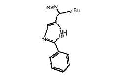 CCCCC(NC)c1cnc(-c2ccccc2)[nH]1